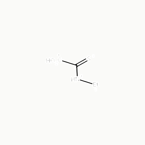 CCNC(=S)C(=O)O